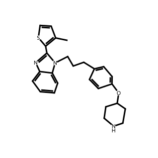 Cc1ccsc1-c1nc2ccccc2n1CCCc1ccc(OC2CCNCC2)cc1